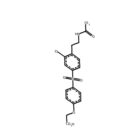 O=C(O)COc1ccc(S(=O)(=O)c2ccc(CCNC(=O)C(F)(F)F)c(Cl)c2)cc1